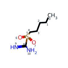 CCCCCS(=O)(=O)C(=N)N